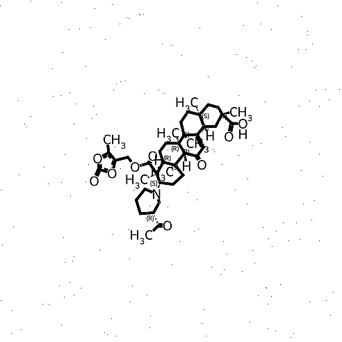 CC(=O)[C@@H]1CCCN([C@H]2CC[C@@]3(C)[C@@H](CC[C@]4(C)[C@@H]3C(=O)C=C3[C@@H]5C[C@@](C)(C(=O)O)CC[C@]5(C)CC[C@]34C)[C@]2(C)C(=O)OCc2oc(=O)oc2C)C1